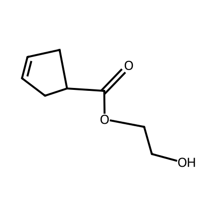 O=C(OCCO)C1CC=CC1